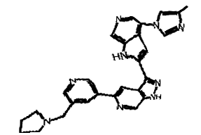 Cc1cn(-c2cncc3[nH]c(-c4n[nH]c5cnc(-c6cncc(CN7CCCC7)c6)cc45)cc23)cn1